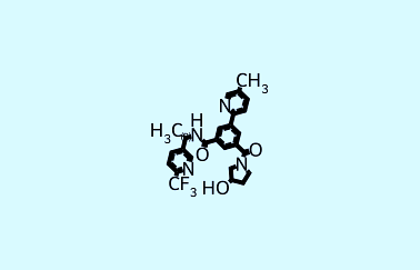 Cc1ccc(-c2cc(C(=O)N[C@H](C)c3ccc(C(F)(F)F)nc3)cc(C(=O)N3CCC(O)C3)c2)nc1